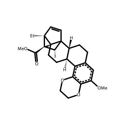 CC[C@@]12C=CC3([C@H](C)[C@H]1C(=O)OC)[C@@H]1CCc4cc(OC)c5c(c4[C@H]1CC[C@@]32C)OCCO5